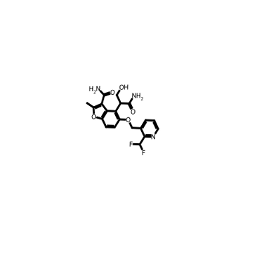 Cc1oc2ccc(OCc3cccnc3C(F)F)c(C(CO)C(N)=O)c2c1C(N)=O